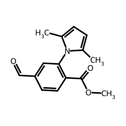 COC(=O)c1ccc(C=O)cc1-n1c(C)ccc1C